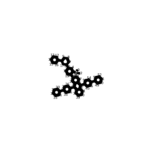 C[Si]1(C)c2cc(C3C=CC=C(c4ccccc4)C3)ccc2-c2cc3c(-c4ccc(-c5ccccc5)cc4)c4ccccc4c(-c4ccc(-c5ccccc5)cc4)c3cc21